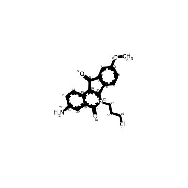 COc1ccc2c(c1)C(=O)c1c-2n(CCCCl)c(=O)c2cc(N)ccc12